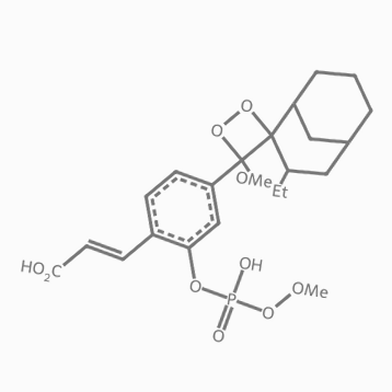 CCC1CC2CCCC(C2)C12OOC2(OC)c1ccc(/C=C/C(=O)O)c(OP(=O)(O)OOC)c1